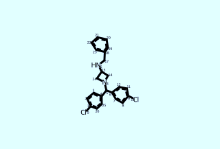 Clc1ccc(C(c2ccc(Cl)cc2)N2CC(NCc3ccccc3)C2)cc1